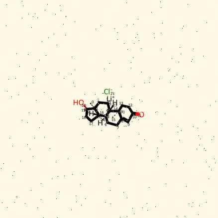 C[C@]12CC[C@H]3[C@@H](CCC4=CC(=O)CC[C@@]43C)[C@@H]1CC[C@H]2O.[Cl-].[Li+]